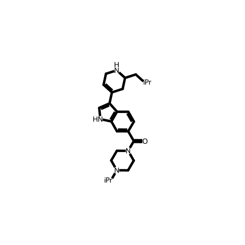 CC(C)CC1CC(c2c[nH]c3cc(C(=O)N4CCN(C(C)C)CC4)ccc23)=CCN1